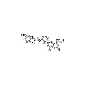 O=C(O)c1cc(Br)cc2c(=O)cc(-c3cccc(OCc4ccc5ccc(Cl)cc5n4)c3)oc12